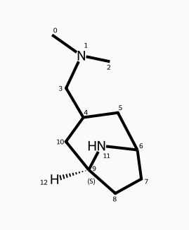 CN(C)CC1CC2CC[C@@H](C1)N2